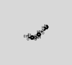 CCN(CC)C(=O)c1ccc(S(=O)(=O)Nc2ccc(NC(=O)NCc3cccnc3)cc2)cc1